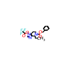 CCC1c2ncn(OC(=O)C(F)(F)F)c2CCN1C(=O)OCc1ccccc1